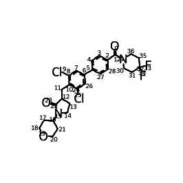 O=C(c1ccc(-c2cc(Cl)c(CC3CCN(C4CCOCC4)C3=O)c(Cl)c2)cc1)N1CCC(F)(F)CC1